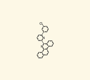 Clc1cccc(-c2cccc(-c3nc4c5ccccc5ccc4c4ccccc34)n2)c1